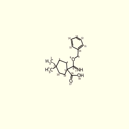 CC1(C)CCC(C(=N)OCc2ccccc2)(C(=O)O)CC1